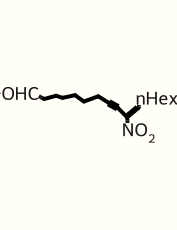 CCCCCCC=C(C#CCCCCCC[C]=O)[N+](=O)[O-]